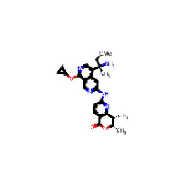 COC[C@](C)(N)c1cnc(OC2CC2)c2cnc(Nc3ccc4c(n3)[C@H](C)[C@H](C)OC4=O)cc12